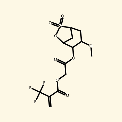 C=C(C(=O)OCC(=O)OC1C(OC)CC2CC1OS2(=O)=O)C(F)(F)F